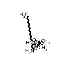 CCCCCCCCCCCCCC(=O)NC(CC(N)=O)C(=O)NC(C)C(=O)OC